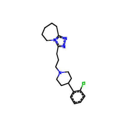 Clc1ccccc1C1CCN(CCCc2nnc3n2CCCCC3)CC1